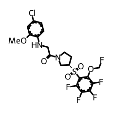 COc1cc(Cl)ccc1NCC(=O)N1CC[C@H](S(=O)(=O)c2c(F)c(F)c(F)c(F)c2OCF)C1